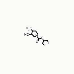 CC1CCN(C(=O)OC(CF)CF)CC1C#N